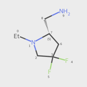 CCN1CC(F)(F)C[C@H]1CN